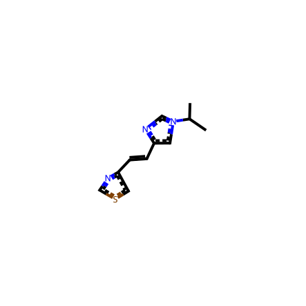 CC(C)n1cnc(C=Cc2cscn2)c1